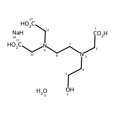 O.O=C(O)CN(CCO)CCN(CC(=O)O)CC(=O)O.[NaH]